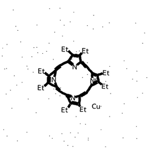 CCC1=C(CC)c2cc3[nH]c(cc4nc(cc5[nH]c(cc1n2)c(CC)c5CC)C(CC)=C4CC)c(CC)c3CC.[Cu]